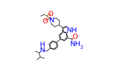 CCS(=O)(=O)N1CCC(c2c[nH]c3c(C(N)=O)cc(-c4ccc(CNC(C)C(C)C)cc4)cc23)CC1